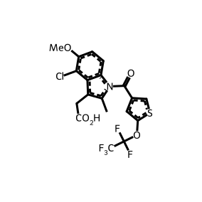 COc1ccc2c(c1Cl)c(CC(=O)O)c(C)n2C(=O)c1csc(OC(F)(F)C(F)(F)F)c1